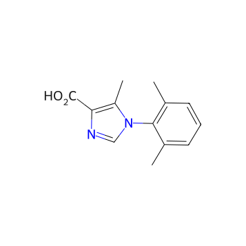 Cc1cccc(C)c1-n1cnc(C(=O)O)c1C